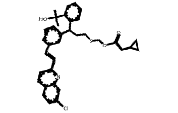 CC(C)(O)c1ccccc1C(CCSCOC(=O)CC1CC1)c1cccc(/C=C/c2ccc3ccc(Cl)cc3n2)c1